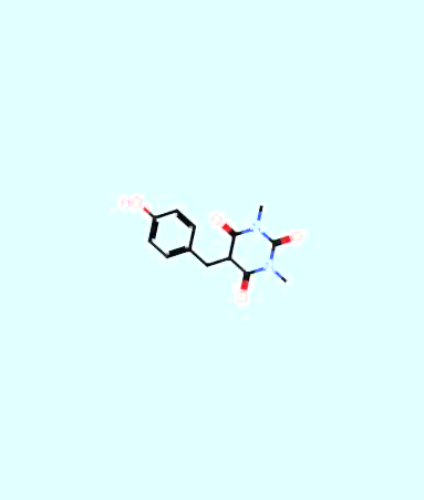 CN1C(=O)C(Cc2ccc(O)cc2)C(=O)N(C)C1=O